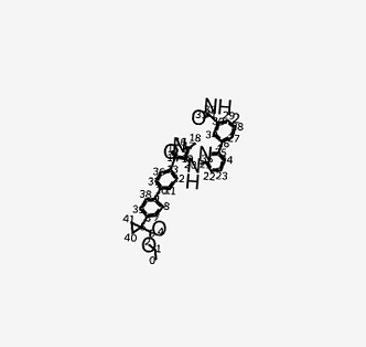 CCOC(=O)C1(c2ccc(-c3ccc(-c4onc(C)c4Nc4cccc(-c5cccc(C(N)=O)c5)n4)cc3)cc2)CC1